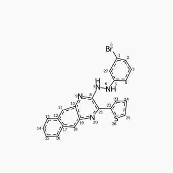 Brc1cccc(NNc2nc3cc4ccccc4cc3nc2-c2cccs2)c1